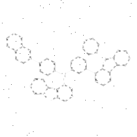 c1ccc(-n2c3ccccc3c3cccc(-c4cccc(N(c5ccc(-c6ccc7ccccc7c6)cc5)c5cccc6oc7ccccc7c56)c4)c32)cc1